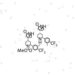 COC(=O)N1CCC(c2cc(=O)[nH]o2)CC1c1ccc(C(F)(F)F)c(C)c1.Cc1cc([C@@H]2C[C@@H](c3cc(=O)[nH]o3)CCN2)ccc1C(F)(F)F